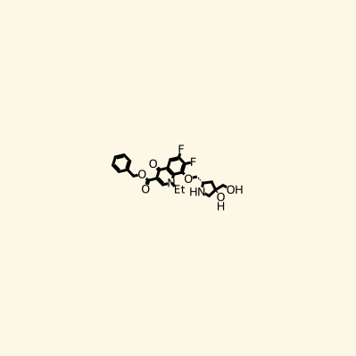 CCn1cc(C(=O)OCc2ccccc2)c(=O)c2cc(F)c(F)c(OC[C@@H]3C[C@@](O)(CO)CN3)c21